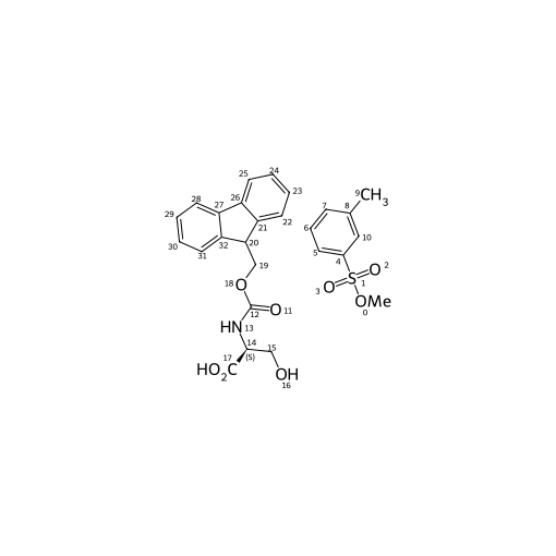 COS(=O)(=O)c1cccc(C)c1.O=C(N[C@@H](CO)C(=O)O)OCC1c2ccccc2-c2ccccc21